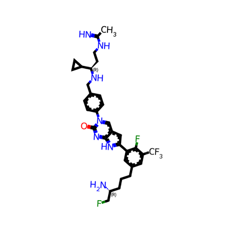 CC(=N)NCC[C@@H](NCc1ccc(-n2cc3cc(-c4cc(CCC[C@@H](N)CF)cc(C(F)(F)F)c4F)[nH]c3nc2=O)cc1)C1CC1